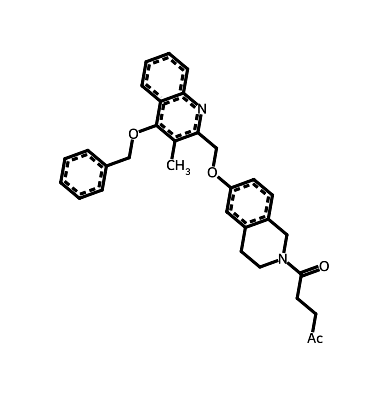 CC(=O)CCC(=O)N1CCc2cc(OCc3nc4ccccc4c(OCc4ccccc4)c3C)ccc2C1